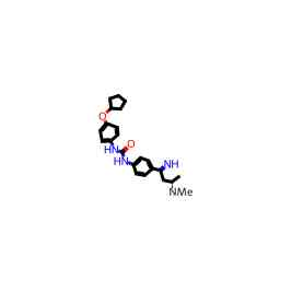 CN[C@@H](C)CC(=N)c1ccc(NC(=O)Nc2ccc(OC3CCCC3)cc2)cc1